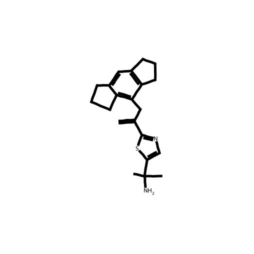 C=C(Cc1c2c(cc3c1CCC3)CCC2)c1ncc(C(C)(C)N)s1